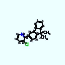 CC1(C)c2ccccc2-c2cc(-c3ncccc3Cl)ccc21